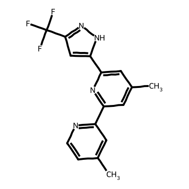 Cc1ccnc(-c2cc(C)cc(-c3cc(C(F)(F)F)n[nH]3)n2)c1